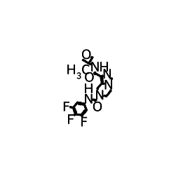 CC1(NC(=O)c2ncn3c2CN(C(=O)Nc2cc(F)c(F)c(F)c2)CC3)COC1